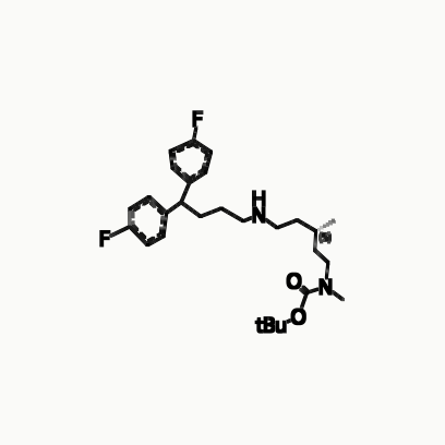 C[C@@H](CCNCCCC(c1ccc(F)cc1)c1ccc(F)cc1)CCN(C)C(=O)OC(C)(C)C